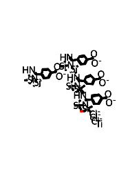 C[Si](C)(C)N(C(=N)c1ccc(C(=O)[O-])cc1)[Si](C)(C)C.C[Si](C)(C)N(C(=N)c1ccc(C(=O)[O-])cc1)[Si](C)(C)C.C[Si](C)(C)N(C(=N)c1ccc(C(=O)[O-])cc1)[Si](C)(C)C.C[Si](C)(C)N(C(=N)c1ccc(C(=O)[O-])cc1)[Si](C)(C)C.[Cl-].[Cl-].[Cl-].[Ti]